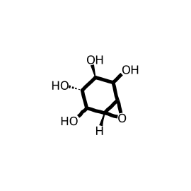 OC1C2O[C@@H]2C(O)[C@H](O)[C@H]1O